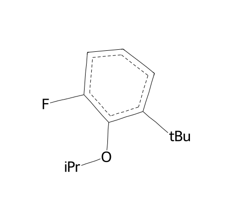 CC(C)Oc1c(F)cccc1C(C)(C)C